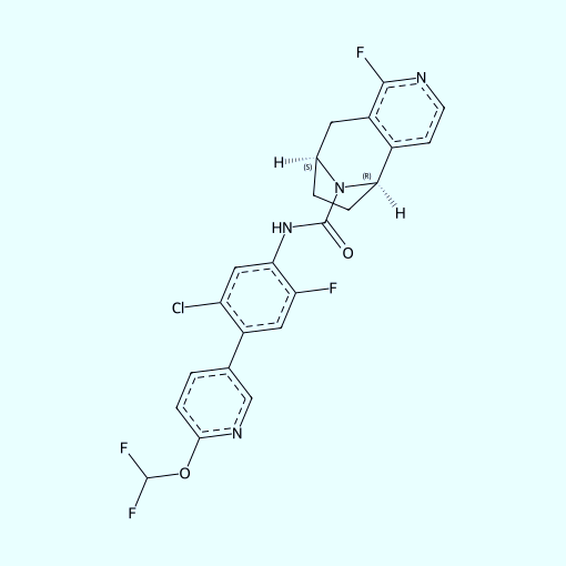 O=C(Nc1cc(Cl)c(-c2ccc(OC(F)F)nc2)cc1F)N1[C@H]2CC[C@@H]1c1ccnc(F)c1C2